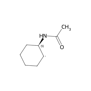 CC(=O)N[C@H]1[CH]CCCC1